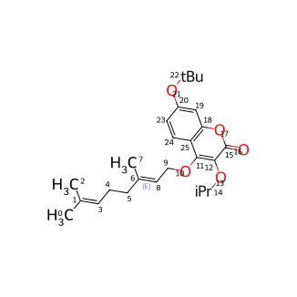 CC(C)=CCC/C(C)=C/COc1c(OC(C)C)c(=O)oc2cc(OC(C)(C)C)ccc12